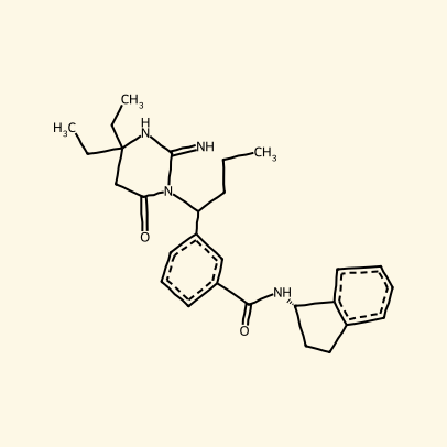 CCCC(c1cccc(C(=O)N[C@H]2CCc3ccccc32)c1)N1C(=N)NC(CC)(CC)CC1=O